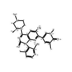 [2H]N1CCN(c2nc(=O)n(-c3c(C)ccnc3C(C)C)c3nc(-c4cc(C)c(=O)n(C)c4)c(C#N)cc23)[C@@H](C)C1